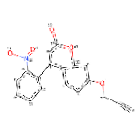 C#CCOc1ccc2c(-c3ccccc3[N+](=O)[O-])cc(=O)oc2c1